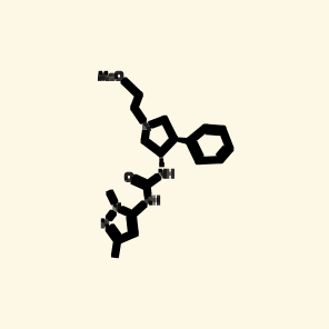 COCCN1C[C@@H](NC(=O)Nc2cc(C)nn2C)[C@H](c2ccccc2)C1